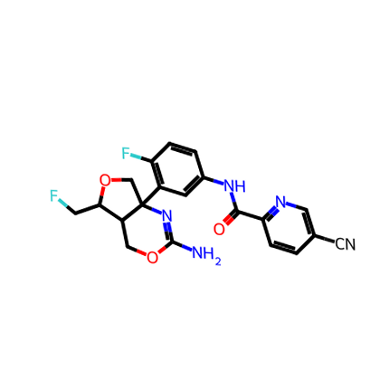 N#Cc1ccc(C(=O)Nc2ccc(F)c(C34COC(CF)C3COC(N)=N4)c2)nc1